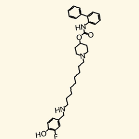 O=C(Nc1ccccc1-c1ccccc1)OC1CCN(CCCCCCCCCNCc2ccc(O)c(F)c2)CC1